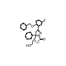 O=C(N1N=C(c2cc(F)ccc2OCc2ccccc2)CC1(CCCO)c1ccccc1)C(F)(F)F